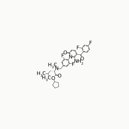 CC(C)C[C@@H](C(=O)OC1CCCC1)N(C)Cc1cc(F)c(-n2c(N)c(C(=O)c3ccc(F)cc3F)ccc2=O)c(F)c1